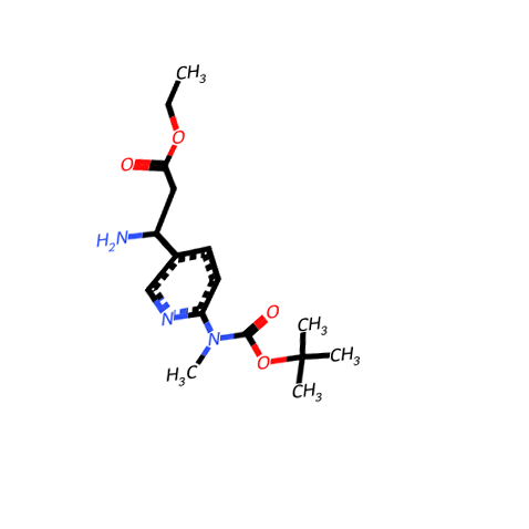 CCOC(=O)CC(N)c1ccc(N(C)C(=O)OC(C)(C)C)nc1